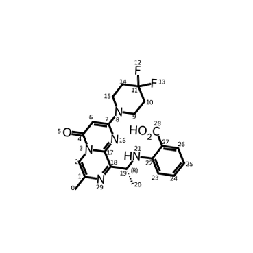 Cc1cn2c(=O)cc(N3CCC(F)(F)CC3)nc2c([C@@H](C)Nc2ccccc2C(=O)O)n1